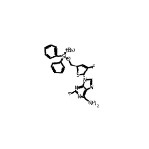 CC(C)(C)[Si](OC[C@H]1C=C(F)[C@H](n2cnc3c(N)nc(F)nc32)S1)(c1ccccc1)c1ccccc1